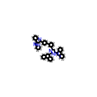 N/C(=N\C(=C/Cc1cc2ccccc2c2ccccc12)c1cccc(-c2ccc(-c3nc4ccccc4c4nc5ccccn5c34)cc2)c1)c1cc2ccccc2c2ccccc12